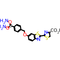 NOB(ON)c1ccc(COc2ccc3nc(C4=N[C@@H](C(=O)O)CS4)sc3c2)cc1